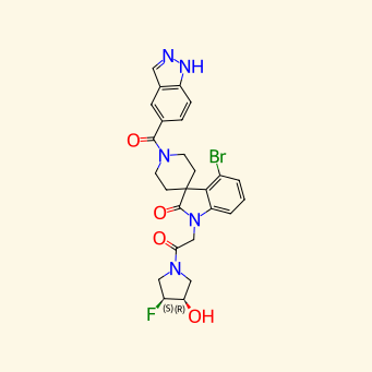 O=C(CN1C(=O)C2(CCN(C(=O)c3ccc4[nH]ncc4c3)CC2)c2c(Br)cccc21)N1C[C@@H](O)[C@@H](F)C1